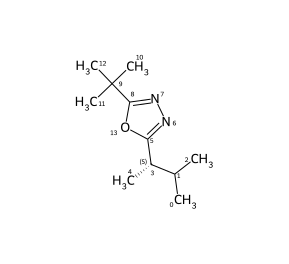 CC(C)[C@H](C)c1nnc(C(C)(C)C)o1